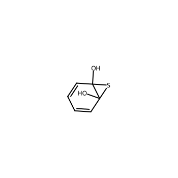 OC12C=CC=CC1(O)S2